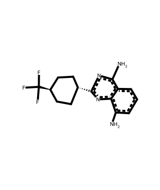 Nc1nc([C@H]2CC[C@H](C(F)(F)F)CC2)nc2c(N)cccc12